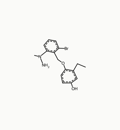 CCc1cc(O)ccc1OCc1c(Br)cccc1N(C)N